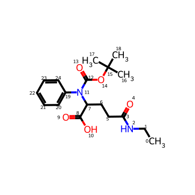 CCNC(=O)CCC(C(=O)O)N(C(=O)OC(C)(C)C)c1ccccc1